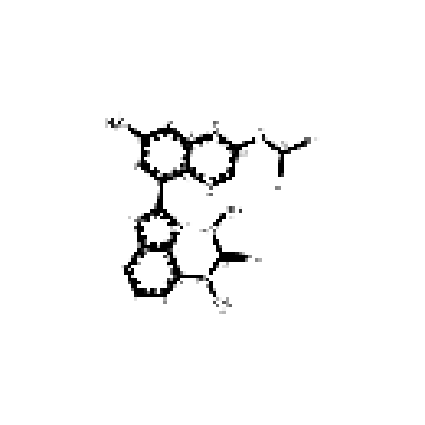 Cc1cc(-c2nc3cccc(N(C)C(=O)OC(C)(C)C)c3s2)c2ncc(OC(F)F)nc2c1